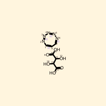 C1=C\N=N/N=N\N=C/1.O=C(O)C(O)C(O)C(=O)O